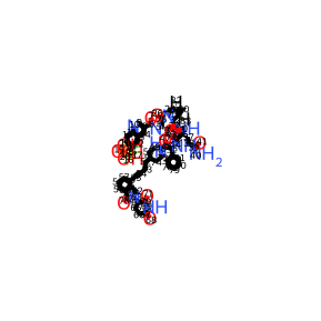 CCCC[C@H](NC(=O)c1cnc2ccc(C(F)(F)P(=O)(O)O)cc2c1)C(=O)N1C[C@H]2C[C@H]2[C@H]1C(=O)N[C@@H](CCC(N)=O)C(=O)N[C@H](C(=O)N1CCC(CCC#Cc2cccc3c2CN(C2CCC(=O)NC2=O)C3=O)CC1)c1ccccc1